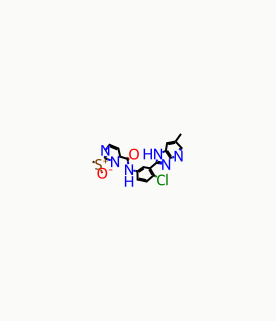 Cc1cnc2nc(-c3cc(NC(=O)c4ccnc([S+](C)[O-])n4)ccc3Cl)[nH]c2c1